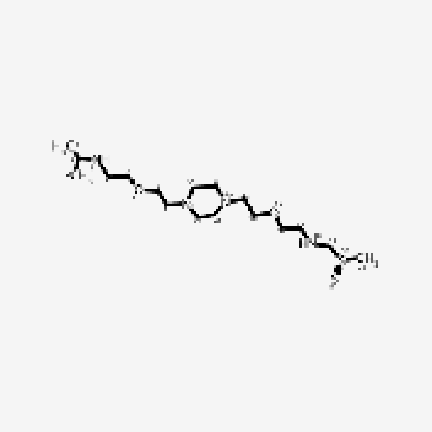 CC(C)NCCOCCN1CCN(CCOCCNCS(C)=S)CC1